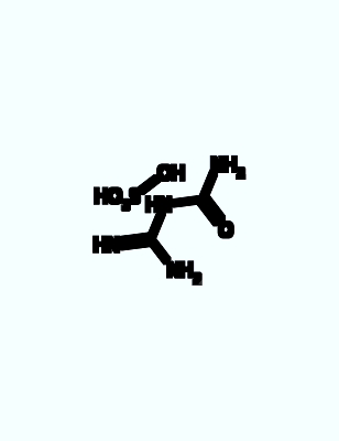 N=C(N)NC(N)=O.O=S(=O)(O)O